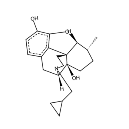 C[C@@H]1CC[C@]2(O)[C@@H]3Cc4ccc(O)c5c4[C@]2(CCN3CC2CC2)[C@@H]1O5